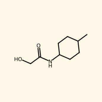 CC1CCC(NC(=O)CO)CC1